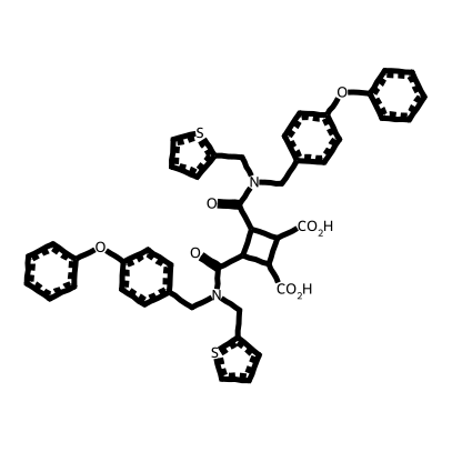 O=C(O)C1C(C(=O)O)C(C(=O)N(Cc2ccc(Oc3ccccc3)cc2)Cc2cccs2)C1C(=O)N(Cc1ccc(Oc2ccccc2)cc1)Cc1cccs1